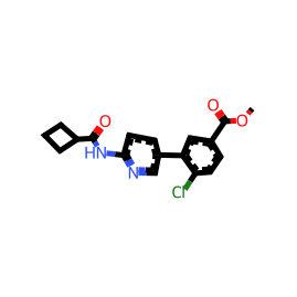 COC(=O)c1ccc(Cl)c(-c2ccc(NC(=O)C3CCC3)nc2)c1